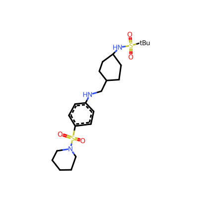 CC(C)(C)S(=O)(=O)NC1CCC(CNc2ccc(S(=O)(=O)N3CCCCC3)cc2)CC1